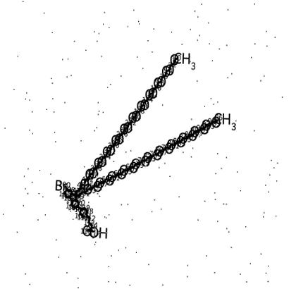 COCCOOCCOOCCOOCCOOCCOOCCOOCCOOCCOOCCOOCCOOCCOCCCC1(CCCOCCOOCCOOCCOOCCOOCCOOCCOOCCOOCCOOCCOOCCOOCCOC)c2cc(Br)ccc2-c2ccc(-c3ccc(CCCC(=O)O)cc3)cc21